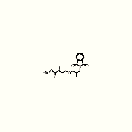 C[C@@H](COCCNC(=O)OC(C)(C)C)CN1C(=O)c2ccccc2C1=O